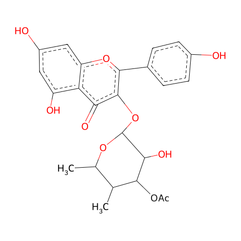 CC(=O)OC1C(C)C(C)OC(Oc2c(-c3ccc(O)cc3)oc3cc(O)cc(O)c3c2=O)C1O